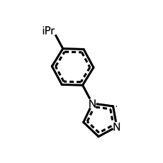 CC(C)c1ccc(-n2[c]ncc2)cc1